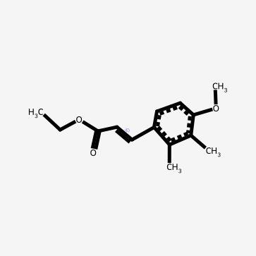 CCOC(=O)/C=C/c1ccc(OC)c(C)c1C